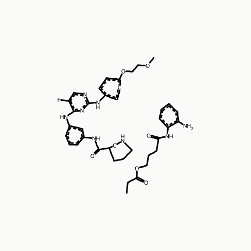 CCC(=O)OCCCC(=O)Nc1ccccc1N.COCCOc1ccc(Nc2ncc(F)c(Nc3cccc(NC(=O)C4CCCNC4)c3)n2)cc1